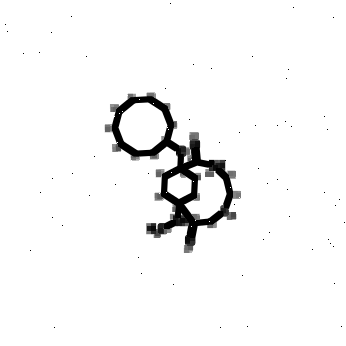 CNC12CCC(OC3CCCCCCCCC3)(CC1)C(=O)NCCSCC2=O